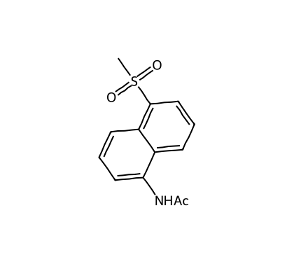 CC(=O)Nc1cccc2c(S(C)(=O)=O)cccc12